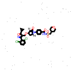 O=C(NS(=O)(=O)CC1CCOCC1)c1ccc(N2C(=O)[C@@H]3C[C@H]2C[C@H]3OCc2c(-c3c(Cl)cccc3Cl)noc2C2CC2)cc1